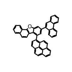 c1ccc2c(c1)cc(-c1cc(-c3ccc4ccc5cccc6ccc3c4c56)c3c(c1)oc1c4ccccc4ccc13)c1ccccc12